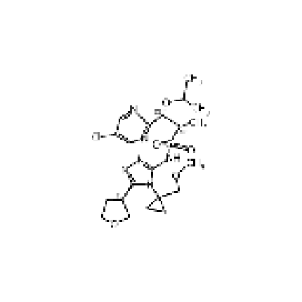 COCC1(n2c(NS(=O)(=O)[C@@H](C)[C@@H](OC(C)C)c3ncc(Cl)cn3)nnc2[C@@H]2CCOC2)CC1